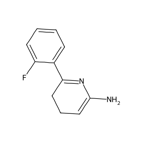 NC1=CCCC(c2ccccc2F)=N1